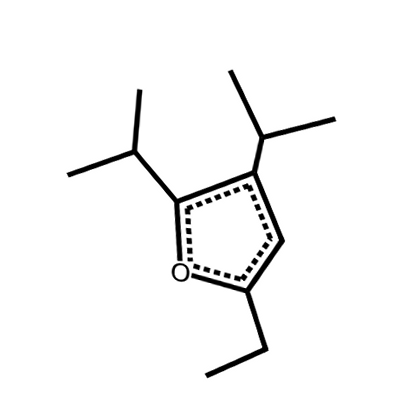 CCc1cc(C(C)C)c(C(C)C)o1